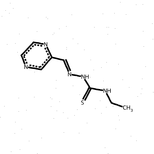 CCNC(=S)N/N=C/c1cnccn1